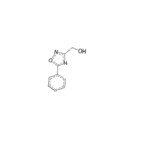 OCc1noc(-c2ccccc2)n1